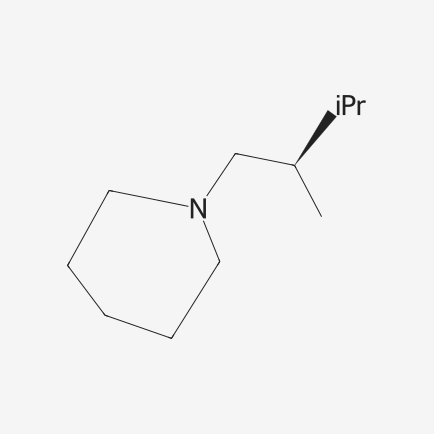 CC(C)[C@@H](C)CN1CCCCC1